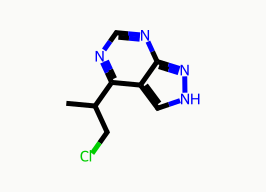 CC(CCl)c1ncnc2n[nH]cc12